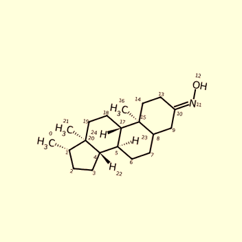 C[C@H]1CC[C@H]2[C@@H]3CCC4C/C(=N/O)CC[C@]4(C)[C@H]3CC[C@]12C